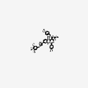 COc1ccc(COc2nc(SC)nc(OCc3ccc(OC)cc3)c2C(=O)Nc2ccc(-c3cn(Cc4cc(OC)c(OC)c(OC)c4)nn3)cc2F)cc1